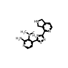 CN(C)c1c(-c2nc(-c3nccc4c3CNC4)ns2)ccnc1N